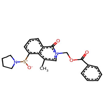 Cc1cn(COC(=O)c2ccccc2)c(=O)c2cccc([S+]([O-])N3CCCC3)c12